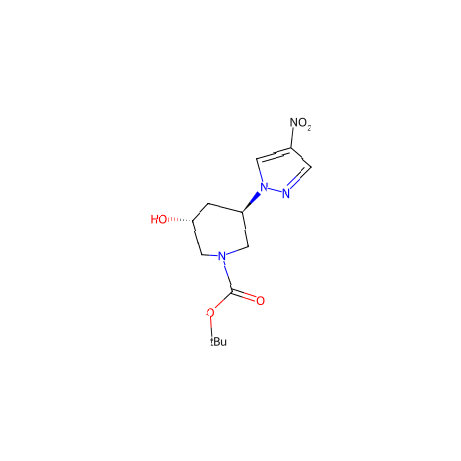 CC(C)(C)OC(=O)N1C[C@H](O)C[C@@H](n2cc([N+](=O)[O-])cn2)C1